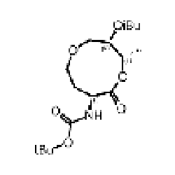 CC(C)CO[C@@H]1COCC[C@H](NC(=O)OC(C)(C)C)C(=O)O[C@H]1C